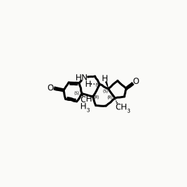 C[C@]12CC[C@@H]3[C@@H](CNC4=CC(=O)C=C[C@@]43C)[C@@H]1CC(=O)C2